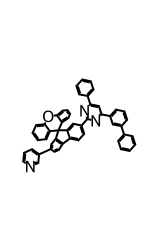 c1ccc(-c2cccc(-c3cc(-c4ccccc4)nc(-c4ccc5c(c4)C4(c6ccccc6Oc6ccccc64)c4cc(-c6cccnc6)ccc4-5)n3)c2)cc1